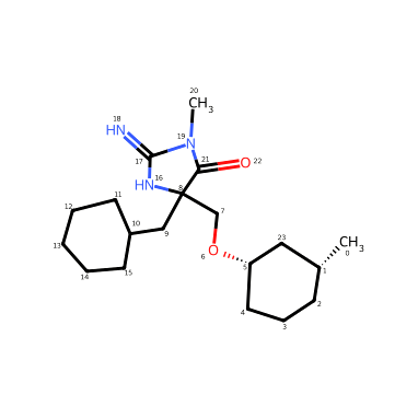 C[C@@H]1CCC[C@H](OCC2(CC3CCCCC3)NC(=N)N(C)C2=O)C1